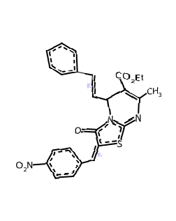 CCOC(=O)C1=C(C)N=c2s/c(=C/c3ccc([N+](=O)[O-])cc3)c(=O)n2C1/C=C/c1ccccc1